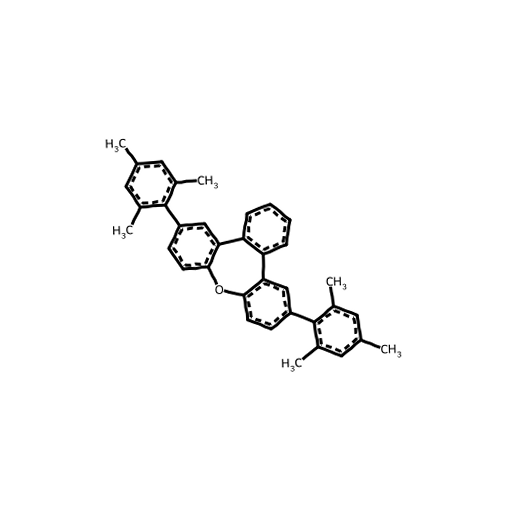 Cc1cc(C)c(-c2ccc3c(c2)-c2ccccc2-c2cc(-c4c(C)cc(C)cc4C)ccc2O3)c(C)c1